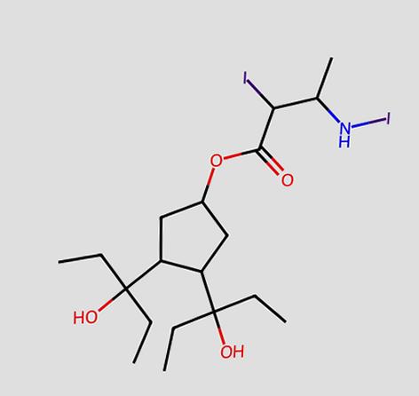 CCC(O)(CC)C1CC(OC(=O)C(I)C(C)NI)CC1C(O)(CC)CC